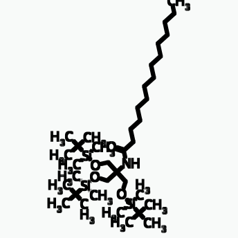 CCCCCCCCCCCCCCC(=O)NC(CO[Si](C)(C)C(C)(C)C)(CO[Si](C)(C)C(C)(C)C)CO[Si](C)(C)C(C)(C)C